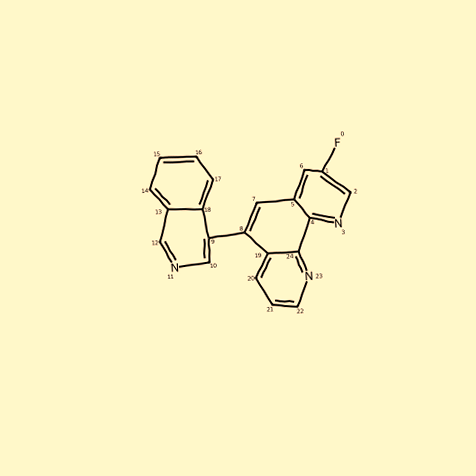 Fc1cnc2c(c1)cc(-c1cncc3ccccc13)c1cccnc12